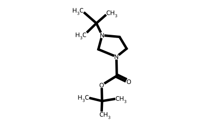 CC(C)(C)OC(=O)N1CCN(C(C)(C)C)C1